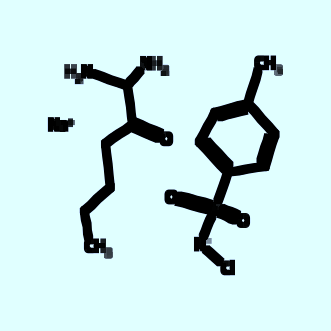 CCCCC(=O)C(N)N.Cc1ccc(S(=O)(=O)[N-]Cl)cc1.[Na+]